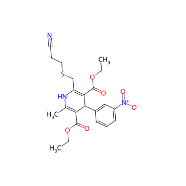 CCOC(=O)C1=C(C)NC(CSCCC#N)=C(C(=O)OCC)C1c1cccc([N+](=O)[O-])c1